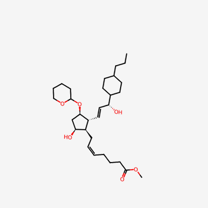 CCCC1CCC([C@H](O)/C=C/[C@@H]2[C@@H](C/C=C\CCCC(=O)OC)[C@@H](O)C[C@H]2OC2CCCCO2)CC1